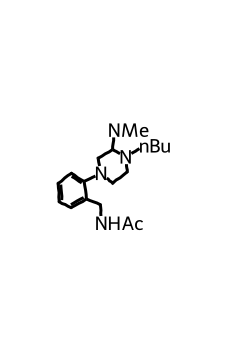 CCCCN1CCN(c2ccccc2CNC(C)=O)CC1NC